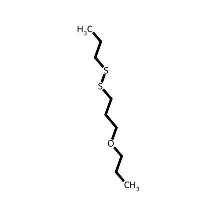 CCCOCCCSSCCC